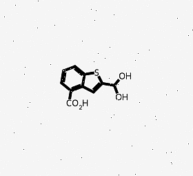 O=C(O)c1cccc2sc(C(O)O)cc12